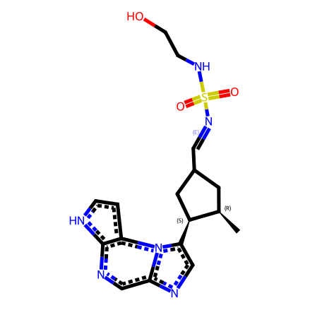 C[C@@H]1CC(/C=N/S(=O)(=O)NCCO)C[C@@H]1c1cnc2cnc3[nH]ccc3n12